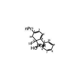 CCCC1=CC=C(c2ccccc2)C(F)(B(O)O)C1